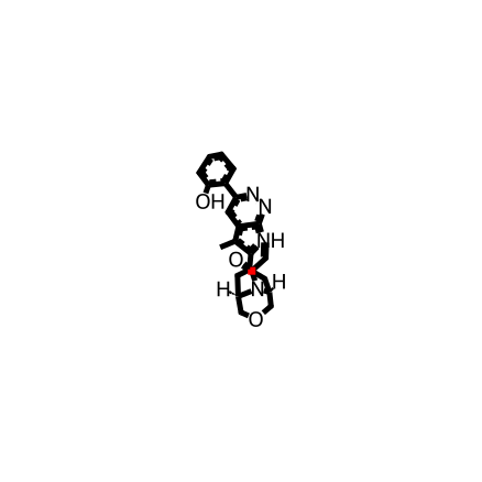 C=CC(=O)N1[C@@H]2COC[C@H]1CC(c1[nH]c3nnc(-c4ccccc4O)cc3c1C)C2